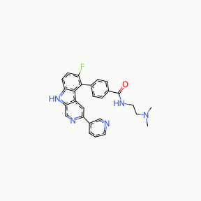 CN(C)CCNC(=O)c1ccc(-c2c(F)ccc3[nH]c4cnc(-c5cccnc5)cc4c23)cc1